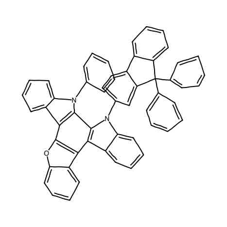 c1ccc(-n2c3ccccc3c3c4oc5ccccc5c4c4c5ccccc5n(-c5ccc6c(c5)C(c5ccccc5)(c5ccccc5)c5ccccc5-6)c4c32)cc1